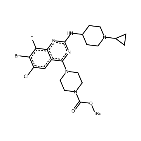 CC(C)(C)OC(=O)N1CCN(c2nc(NC3CCN(C4CC4)CC3)nc3c(F)c(Br)c(Cl)cc23)CC1